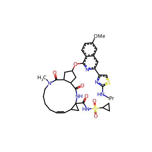 COc1ccc2c(OC3CC4C(=O)NC5(C(=O)NS(=O)(=O)C6CC6)CC5/C=C\CCCCN(C)C(=O)C4C3)nc(-c3csc(NC(C)C)n3)cc2c1